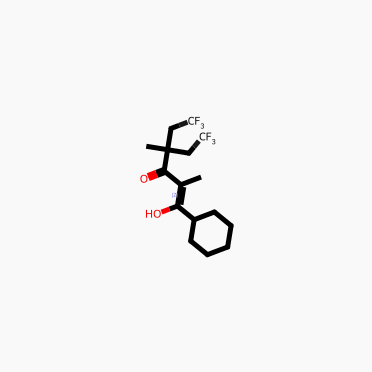 C/C(C(=O)C(C)(CC(F)(F)F)CC(F)(F)F)=C(/O)C1CCCCC1